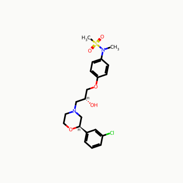 CN(c1ccc(OC[C@H](O)CN2CCO[C@H](c3cccc(Cl)c3)C2)cc1)S(C)(=O)=O